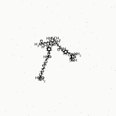 CC(C)[C@H](NC(=O)CCCC(=O)NCc1ccc(COc2nc(N)nc3[nH]cnc23)cc1)C(=O)N[C@@H](CCCNC(N)=O)C(=O)Nc1ccc(COC(=O)NCCOCCOCCOCCOC(=O)NN)cc1